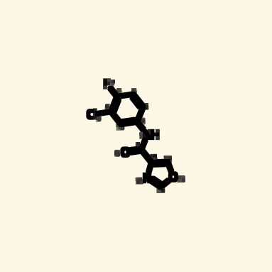 O=C(Nc1ccc(F)c(Cl)c1)c1cocn1